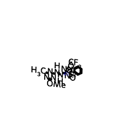 COc1nc(C)nc(NN/C(N)=N/S(=O)(=O)c2ccccc2OC(F)(F)F)n1